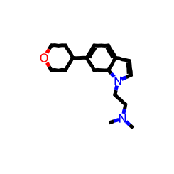 CN(C)CCN1C=CC2=CC=C(C3CCOCC3)CC21